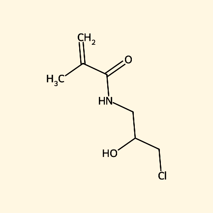 C=C(C)C(=O)NCC(O)CCl